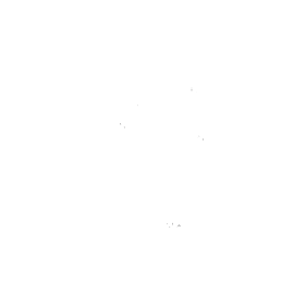 C=CCN(Cc1cnc(C(=O)O)cc1COC)C(=O)OC(C)(C)C